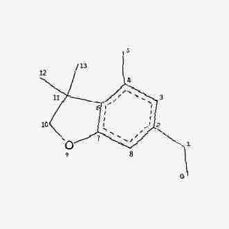 CCc1cc(C)c2c(c1)OCC2(C)C